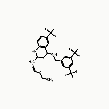 CC1CC(NCc2cc(C(F)(F)F)cc(C(F)(F)F)c2)c2cc(C(F)(F)F)ccc2N1.CCOC=O